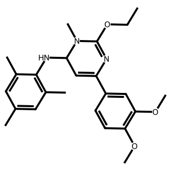 CCOC1=NC(c2ccc(OC)c(OC)c2)=CC(Nc2c(C)cc(C)cc2C)N1C